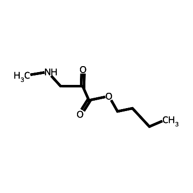 CCCCOC(=O)C(=O)CNC